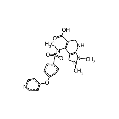 CN1CC2=C(NCC(C(=O)O)=C2N(C)S(=O)(=O)c2ccc(Oc3ccncc3)cc2)N1C